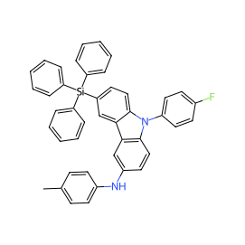 Cc1ccc(Nc2ccc3c(c2)c2cc([Si](c4ccccc4)(c4ccccc4)c4ccccc4)ccc2n3-c2ccc(F)cc2)cc1